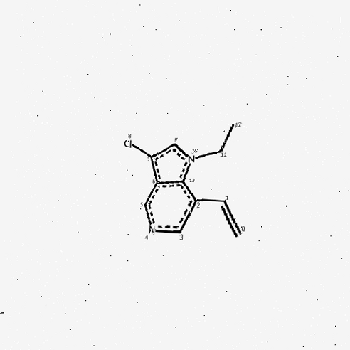 C=Cc1cncc2c(Cl)cn(CC)c12